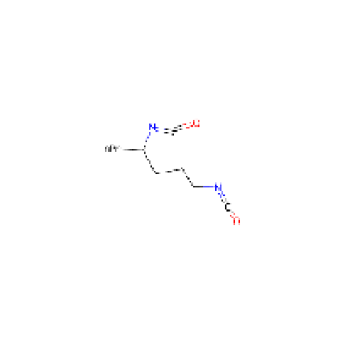 CCCC(CCCN=C=O)N=C=O